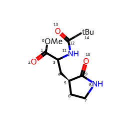 COC(=O)C(C[C@@H]1CCNC1=O)NC(=O)C(C)(C)C